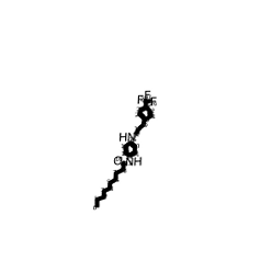 CCCCCCCCCC(=O)Nc1ccc(NCCCc2ccc(C(F)(F)F)cc2)cc1